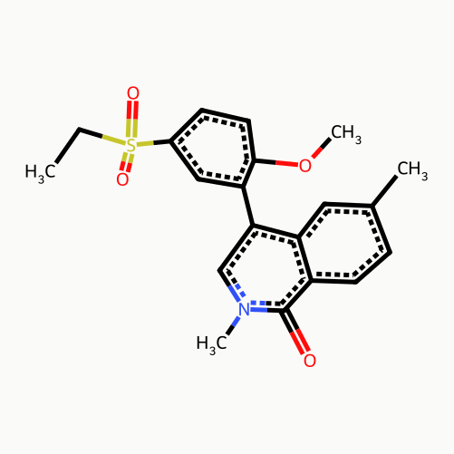 CCS(=O)(=O)c1ccc(OC)c(-c2cn(C)c(=O)c3ccc(C)cc23)c1